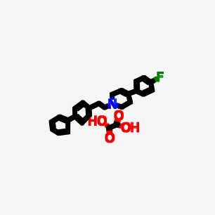 Fc1ccc(C2=CCN(CCc3ccc(-c4ccccc4)cc3)CC2)cc1.O=C(O)C(=O)O